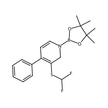 CC1(C)OB(N2C=CC(c3ccccc3)=C(SC(F)F)C2)OC1(C)C